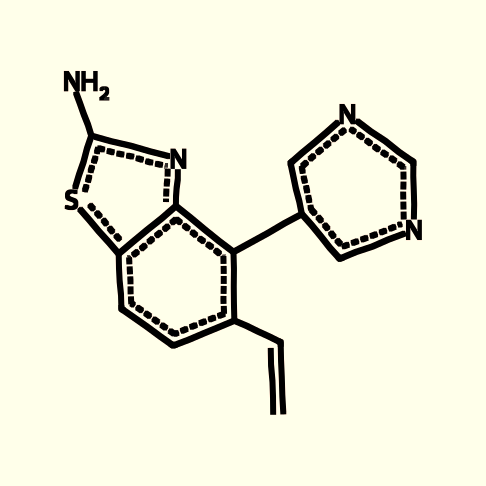 C=Cc1ccc2sc(N)nc2c1-c1cncnc1